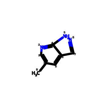 Cc1cnc2[nH]n[c]c2c1